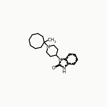 CC1(N2CCC(n3c(=O)[nH]c4ccccc43)CC2)CCCCCCC1